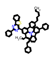 C=C/C=C\C=C\c1ccc(-c2cc(-c3nc(-c4ccccc4)nc4c3sc3ccccc34)cc(/C(C=C)=C/C=C/c3ccccc3)c2-n2c3ccccc3c3cc(-c4ccccc4)ccc32)cc1